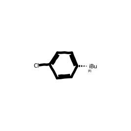 CC[C@@H](C)c1ccc(Cl)cc1